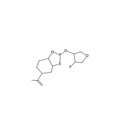 C=C(C)C1CCC2OP(OC3COCC3F)SC2C1